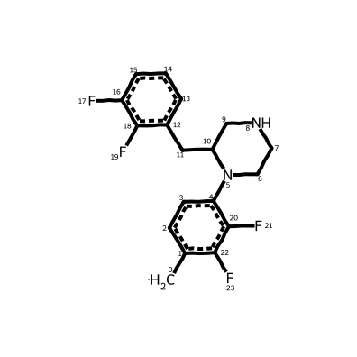 [CH2]c1ccc(N2CCNCC2Cc2cccc(F)c2F)c(F)c1F